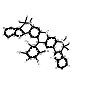 CN1c2cc3c(cc2-c2sc4ccccc4c2C1(C)C)C(c1c(F)c(F)c(F)c(F)c1F)c1cc2c(cc1O3)N(C)C(C)(C)c1c-2sc2ccccc12